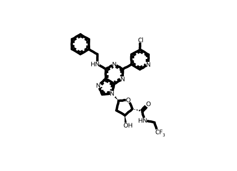 O=C(NCC(F)(F)F)[C@H]1O[C@@H](n2cnc3c(NCc4ccccc4)nc(-c4cncc(Cl)c4)nc32)C[C@@H]1O